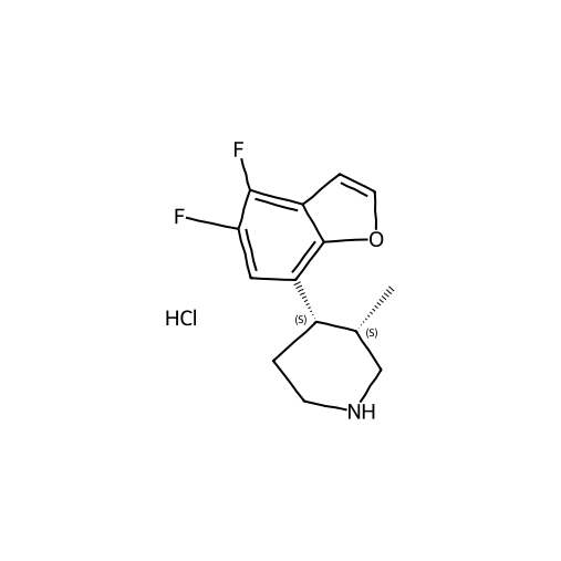 C[C@@H]1CNCC[C@@H]1c1cc(F)c(F)c2ccoc12.Cl